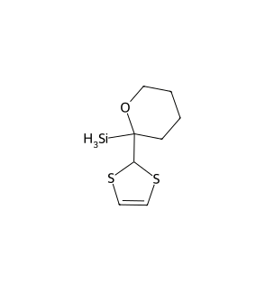 [SiH3]C1(C2SC=CS2)CCCCO1